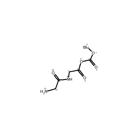 CC(C)(C)OC(=O)OC(=O)CNC(=O)CN